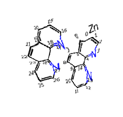 [Zn].c1cnc2c(c1)ccc1cccnc12.c1cnc2c(c1)ccc1cccnc12